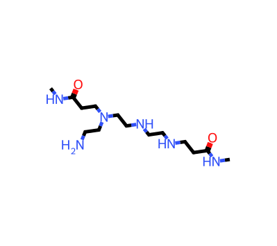 CNC(=O)CCNCCNCCN(CCN)CCC(=O)NC